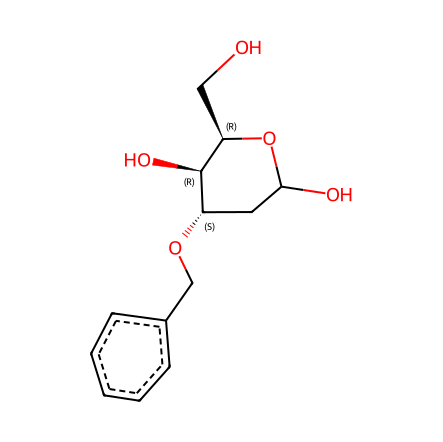 OC[C@H]1OC(O)C[C@H](OCc2ccccc2)[C@H]1O